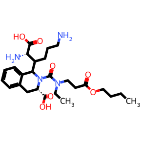 CCCCOC(=O)CCN(CC)C(=O)N1C(C(CCCN)[C@H](N)C(=O)O)c2ccccc2C[C@H]1C(=O)O